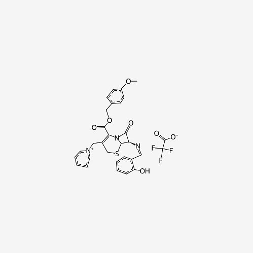 COc1ccc(COC(=O)C2=C(C[n+]3ccccc3)CSC3[C@H](/N=C\c4ccccc4O)C(=O)N23)cc1.O=C([O-])C(F)(F)F